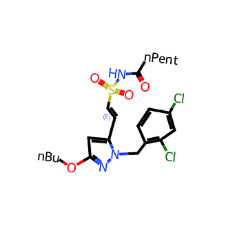 CCCCCC(=O)NS(=O)(=O)/C=C/c1cc(OCCCC)nn1Cc1ccc(Cl)cc1Cl